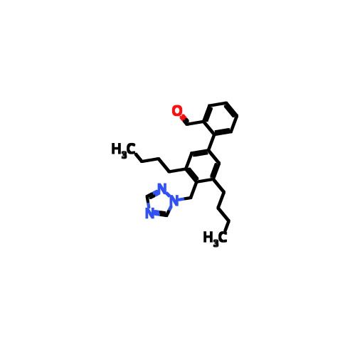 CCCCc1cc(-c2ccccc2C=O)cc(CCCC)c1Cn1cncn1